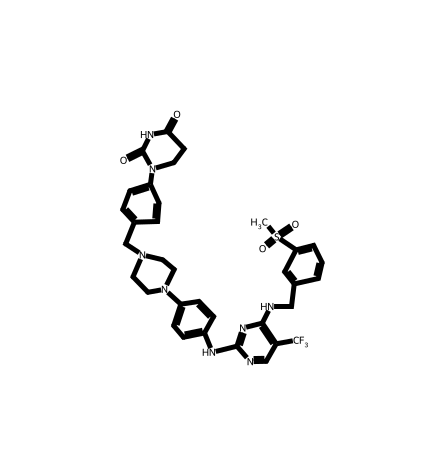 CS(=O)(=O)c1cccc(CNc2nc(Nc3ccc(N4CCN(Cc5ccc(N6CCC(=O)NC6=O)cc5)CC4)cc3)ncc2C(F)(F)F)c1